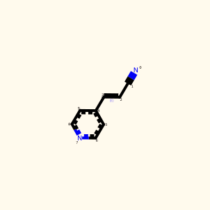 N#C/C=[C]/c1ccncc1